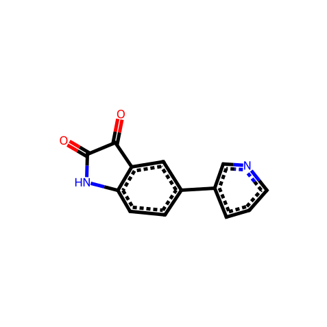 O=C1Nc2ccc(-c3cccnc3)cc2C1=O